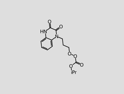 CC(C)OC(=O)OOCCCn1c(=O)c(=O)[nH]c2ccccc21